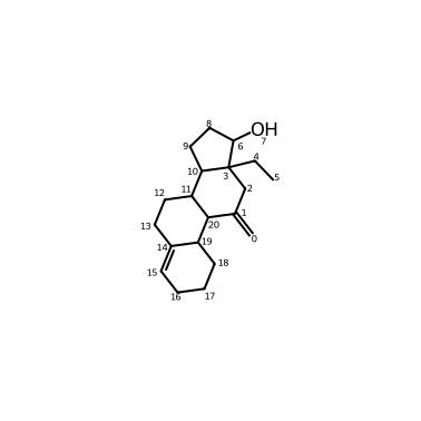 C=C1CC2(CC)C(O)CCC2C2CCC3=CCCCC3C12